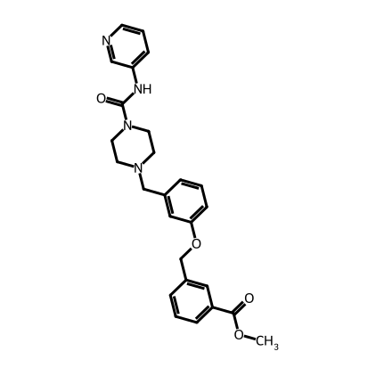 COC(=O)c1cccc(COc2cccc(CN3CCN(C(=O)Nc4cccnc4)CC3)c2)c1